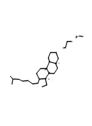 CC(C)CCC[C@@H](C)[C@H]1CC[C@H]2[C@@H]3CC[C@H]4C[C@@H](OCCOSI)CC[C@]4(C)[C@H]3CC[C@]12C